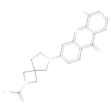 O=C(O)N1CC2(CCN(c3ccc4c(=O)c5cccc(F)c5oc4c3)C2)C1